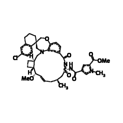 COC(=O)c1cc(C(=O)N[S@@]2(=O)=NC(=O)c3ccc4c(c3)N(C[C@@H]3CC[C@H]3[C@@H](OC)/C=C/C[C@H](C)C2)C[C@@]2(CCCc3cc(Cl)ccc32)CO4)cn1C